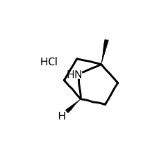 C[C@]12CC[C@H](CC1)N2.Cl